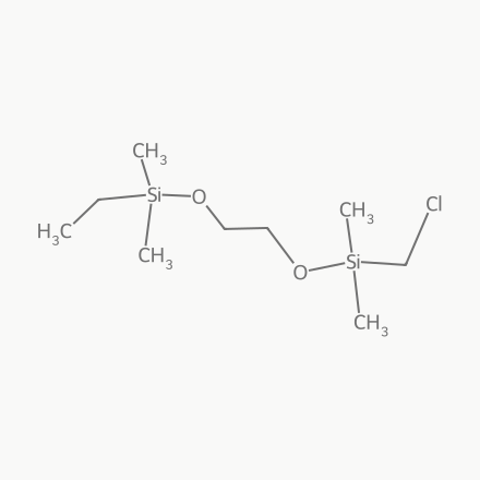 CC[Si](C)(C)OCCO[Si](C)(C)CCl